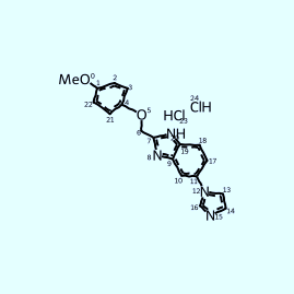 COc1ccc(OCc2nc3cc(-n4ccnc4)ccc3[nH]2)cc1.Cl.Cl